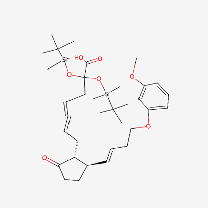 COc1cccc(OCC/C=C/[C@H]2CCC(=O)[C@@H]2CC=C=CCC(O[Si](C)(C)C(C)(C)C)(O[Si](C)(C)C(C)(C)C)C(=O)O)c1